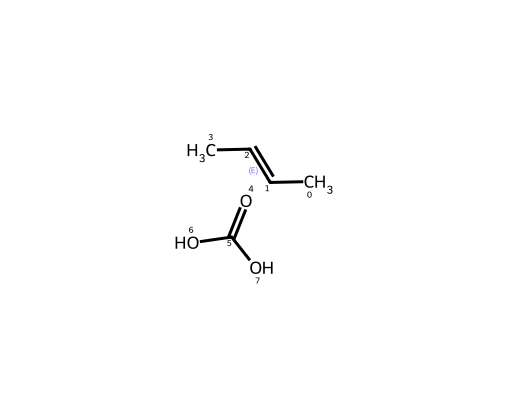 C/C=C/C.O=C(O)O